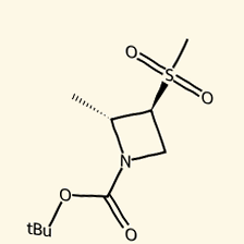 C[C@@H]1[C@@H](S(C)(=O)=O)CN1C(=O)OC(C)(C)C